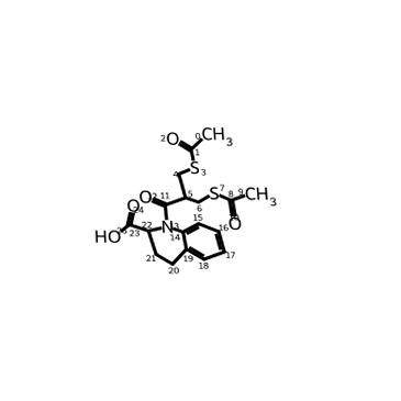 CC(=O)SCC(CSC(C)=O)C(=O)N1c2ccccc2CCC1C(=O)O